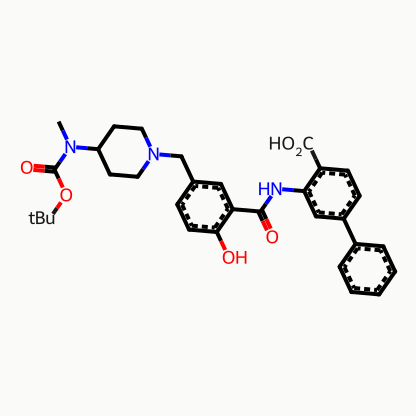 CN(C(=O)OC(C)(C)C)C1CCN(Cc2ccc(O)c(C(=O)Nc3cc(-c4ccccc4)ccc3C(=O)O)c2)CC1